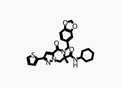 CC1(C(=O)NC2CCCCC2)Cn2nc(-c3cccs3)cc2C(=O)N1Cc1ccc2c(c1)OCO2